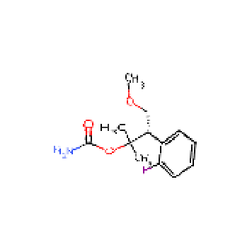 COC[C@H](c1ccccc1I)C(C)(C)OC(N)=O